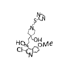 COc1ccc2ncc(Cl)c([C@@H](O)CCC3(CO)CCN(CCSc4cnccn4)CC3)c2c1